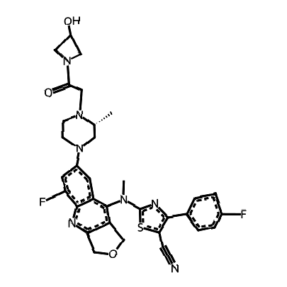 C[C@@H]1CN(c2cc(F)c3nc4c(c(N(C)c5nc(-c6ccc(F)cc6)c(C#N)s5)c3c2)COC4)CCN1CC(=O)N1CC(O)C1